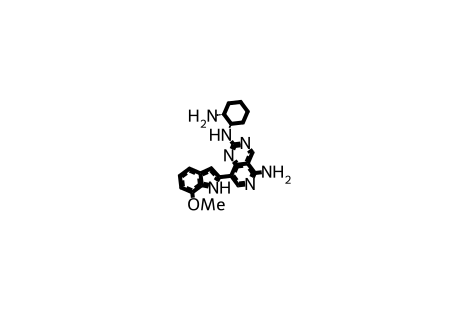 COc1cccc2cc(-c3cnc(N)c4cnc(N[C@H]5CCCC[C@H]5N)nc34)[nH]c12